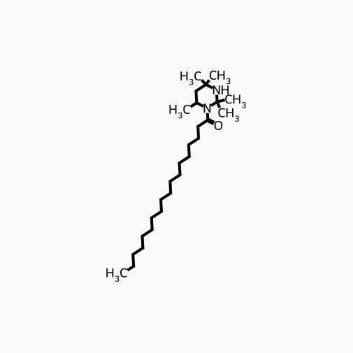 CCCCCCCCCCCCCCCCCC(=O)N1C(C)CC(C)(C)NC1(C)C